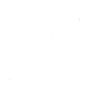 C#CCN(C#C)Cc1ccc(C(=O)O)cc1